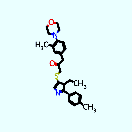 CCC1C(SCC(=O)Cc2ccc(N3CCOCC3)c(C)c2)=CN=C1c1ccc(C)cc1